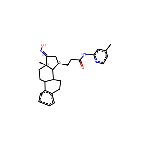 Cc1ccnc(NC(=O)CC[C@@H]2C/C(=N\O)[C@@]3(C)CCC4c5ccccc5CCC4C23)c1